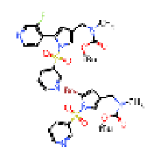 CN(Cc1cc(-c2ccncc2F)n(S(=O)(=O)c2cccnc2)c1)C(=O)OC(C)(C)C.CN(Cc1cc(Br)n(S(=O)(=O)c2cccnc2)c1)C(=O)OC(C)(C)C